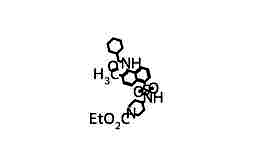 CCOC(=O)N1CCC(NS(=O)(=O)c2cccc3c(NC(=O)C4CCCCC4)c(C)ccc23)CC1